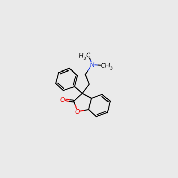 CN(C)CCC1(c2ccccc2)C(=O)OC2C=CC=CC21